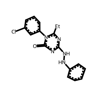 CCc1nc(NNc2ccccc2)nc(=O)n1-c1cccc(Cl)c1